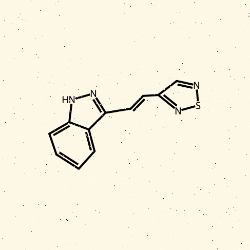 C(=C\c1n[nH]c2ccccc12)/c1cnsn1